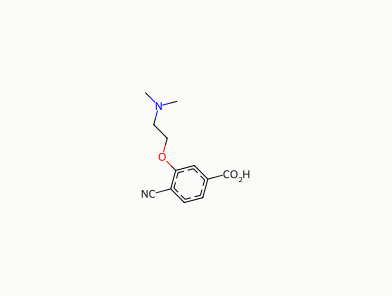 CN(C)CCOc1cc(C(=O)O)ccc1C#N